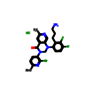 COc1ccc(N2CN(c3ccc(F)c(F)c3CCCN)c3cnc(C(F)(F)F)cc3C2=O)c(Br)n1.Cl